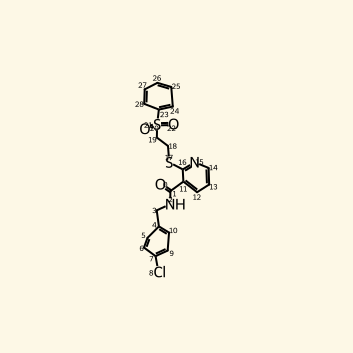 O=C(NCc1ccc(Cl)cc1)c1cccnc1SCCS(=O)(=O)c1ccccc1